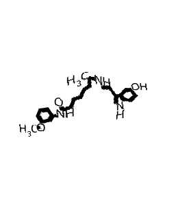 COc1cccc(NC(=O)CCCCCC(C)NCCc2c[nH]c3ccc(O)cc23)c1